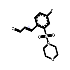 O=C/C=C/c1ccc(F)cc1S(=O)(=O)N1CCOCC1